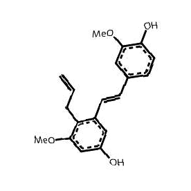 C=CCc1c(/C=C/c2ccc(O)c(OC)c2)cc(O)cc1OC